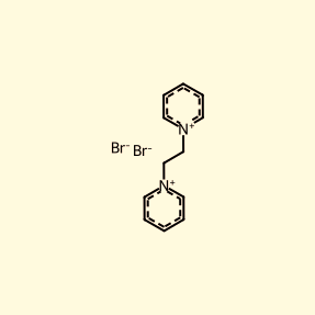 [Br-].[Br-].c1cc[n+](CC[n+]2ccccc2)cc1